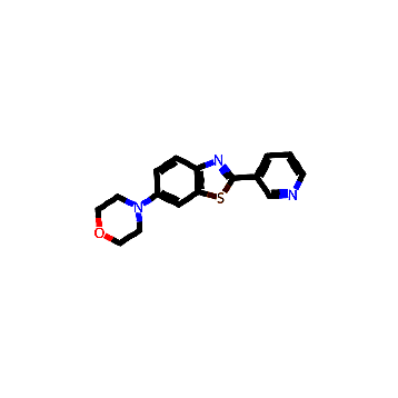 c1cncc(-c2nc3ccc(N4CCOCC4)cc3s2)c1